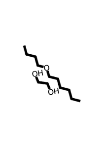 CCCCCCOCCCC.OCCO